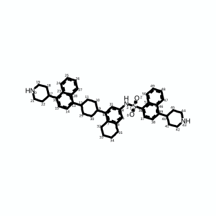 O=S(=O)(Nc1cc2c(c(C3CCC(c4ccc(C5CCNCC5)c5ccccc45)CC3)c1)CCCC2)c1ccc(C2CCNCC2)c2ccccc12